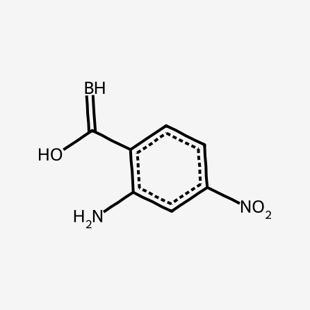 B=C(O)c1ccc([N+](=O)[O-])cc1N